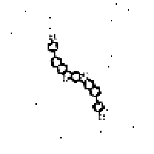 CCc1ccc(-c2ccc3cc4oc5cc6c(cc5c4cc3c2)oc2cc3ccc(-c4ccc(CC)cc4)cc3cc26)cc1